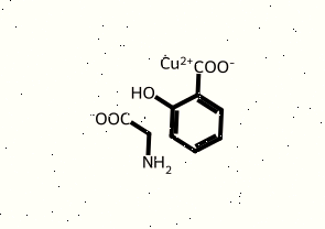 NCC(=O)[O-].O=C([O-])c1ccccc1O.[Cu+2]